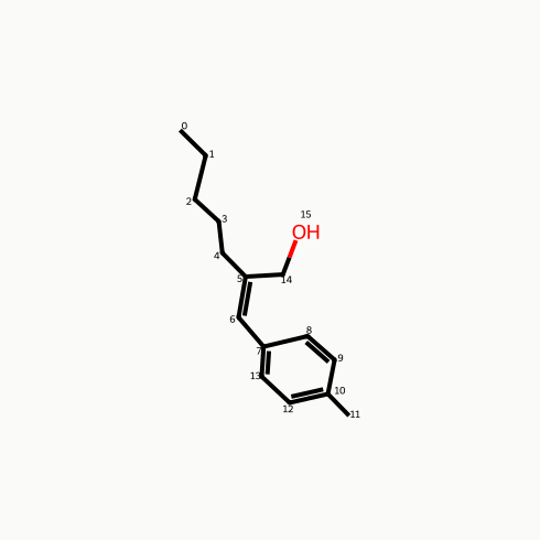 CCCCCC(=Cc1ccc(C)cc1)CO